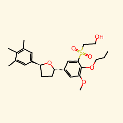 CCCOc1c(OC)cc([C@@H]2CC[C@@H](c3cc(C)c(C)c(C)c3)O2)cc1S(=O)(=O)CCO